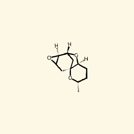 C[C@H]1CC[C@@H]2O[C@@H]3C[C@]2(CC2O[C@H]23)O1